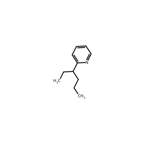 CCCC(CC)c1ccccn1